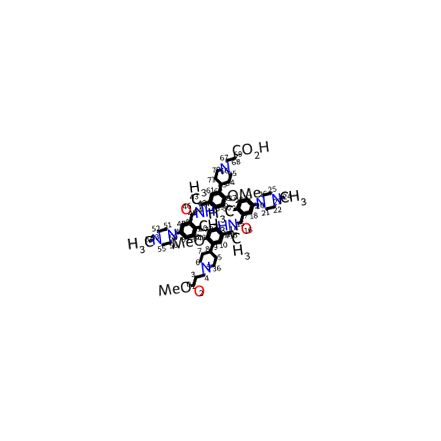 COC(=O)CCN1CCC(c2cc([C@@H](C)NC(=O)c3cc(N4CCN(C)CC4)ccc3C)ccc2OC)CC1.COc1ccc([C@@H](C)NC(=O)c2cc(N3CCN(C)CC3)ccc2C)cc1C1CCN(CCC(=O)O)CC1